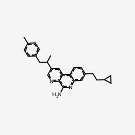 Cc1ccc(CC(C)c2cnc3c(N)nc4cc(CCC5CC5)ccc4c3c2)cc1